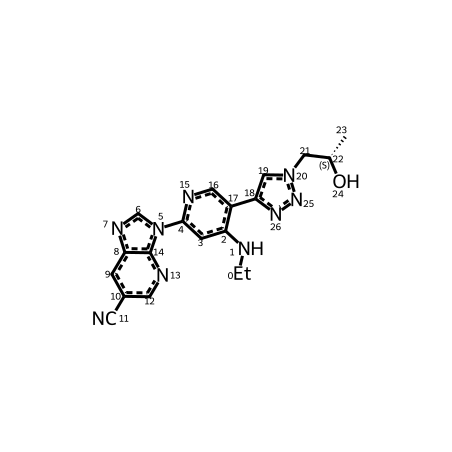 CCNc1cc(-n2cnc3cc(C#N)cnc32)ncc1-c1cn(C[C@H](C)O)nn1